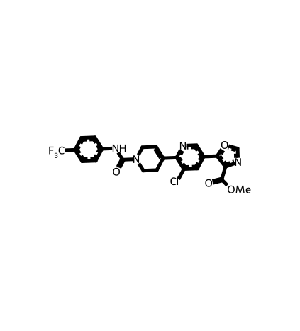 COC(=O)c1ncoc1-c1cnc(C2=CCN(C(=O)Nc3ccc(C(F)(F)F)cc3)CC2)c(Cl)c1